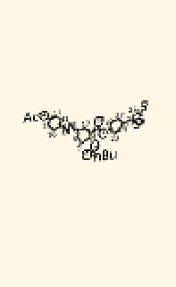 CCCCC(=O)Oc1ccc(/N=N/c2ccc(OC(C)=O)cc2)cc1C(=O)Oc1ccc(-c2cc(=S)ss2)cc1